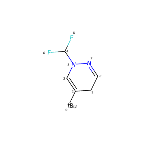 CC(C)(C)C1=CN(C(F)F)N=CC1